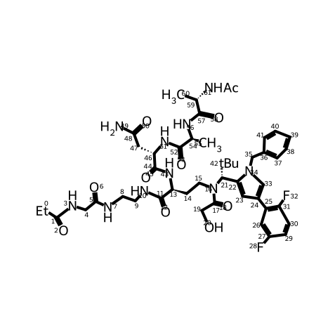 CCC(=O)NCC(=O)NCCNC(=O)[C@H](CCN(C(=O)CO)[C@@H](c1cc(-c2cc(F)ccc2F)cn1Cc1ccccc1)C(C)(C)C)NC(=O)[C@H](CC(N)=O)NC(=O)[C@H](C)NC(=O)[C@H](C)NC(C)=O